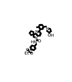 CCS(=O)(=O)c1ccc(CNC(=O)N2CC3(CCCC3)c3nc(-c4cc(CN5CC[C@H](O)C5)ccc4C)ccc32)cc1